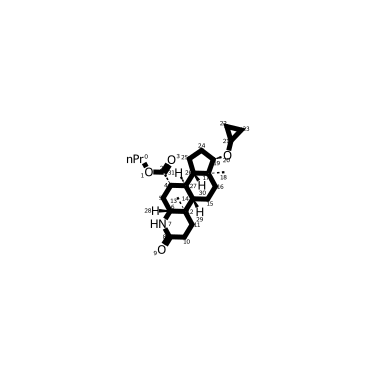 CCCOC(=O)[C@H]1C[C@H]2NC(=O)CC[C@]2(C)[C@H]2CC[C@]3(C)[C@@H](OC4CC4)CC[C@H]3[C@H]12